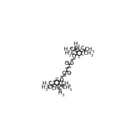 CC(C)(C)c1ccc(OCCOC(=O)/C=C/C(=O)OCCOc2ccc(C(C)(C)C)cc2C(C)(C)C)c(C(C)(C)C)c1